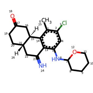 Cc1c(Cl)cc(NC2CCCCO2)c2c1[C@@H]1CC(=O)CC[C@H]1CC2=N